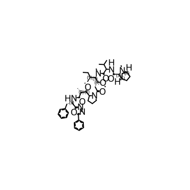 CC[C@H](C)[C@@H]([C@@H](CC(=O)N1CCCC1[C@H](OC)[C@@H](C)C(=O)N[C@@H](Cc1ccccc1)c1nnc(-c2ccccc2)o1)OC)N(C)C(=O)C(NC(=O)[C@@H]1[C@H]2CC[C@H](C2)N1C)C(C)C